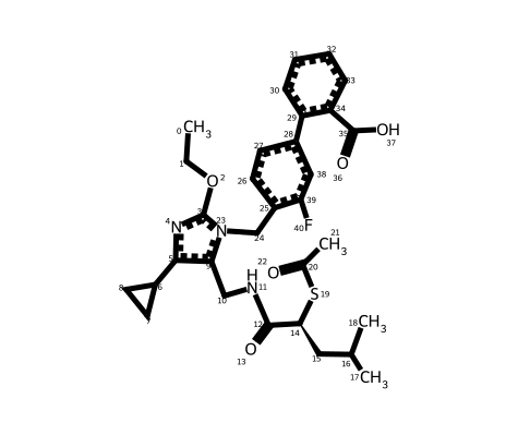 CCOc1nc(C2CC2)c(CNC(=O)[C@H](CC(C)C)SC(C)=O)n1Cc1ccc(-c2ccccc2C(=O)O)cc1F